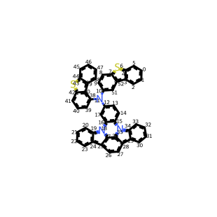 c1ccc2c(c1)sc1ccc(N(c3ccc4c(c3)n3c5ccccc5c5ccc6c7ccccc7n4c6c53)c3cccc4sc5ccccc5c34)cc12